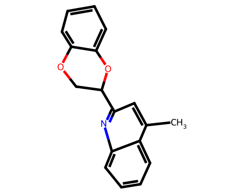 Cc1cc(C2COc3ccccc3O2)nc2ccccc12